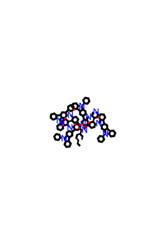 C=CC/C=C\C(=C/C)c1cc(-c2ccc(-n3c4ccccc4c4cc5c6ccccc6n(-c6ccccc6)c5cc43)c(-c3ccncc3-n3c4ccccc4c4cc5c6ccccc6n(-c6ccccc6)c5cc43)c2)nc(-c2ccc(-n3c4ccccc4c4cc5c6ccccc6n(-c6ccccc6)c5cc43)c(-c3ccncc3-n3c4ccccc4c4cc5c6ccccc6n(-c6ccccc6)c5cc43)c2)n1